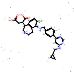 O=C(O)CC(C(=O)O)C1CNCCc2c1ccc(Cl)c2NCc1ccc(-c2cc(NCC3CC3)ncn2)cc1